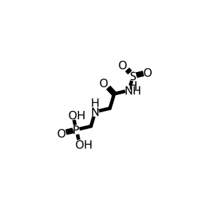 O=C(CNCP(=O)(O)O)N[SH](=O)=O